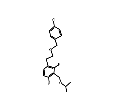 CC(C)OCc1c(F)ccc(CCOCc2ccc(Cl)cc2)c1F